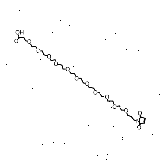 O=C(O)CCOCCOCCOCCOCCOCCOCCOCCOCCOCCOCCOCCCN1C(=O)C=CC1=O